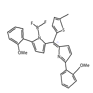 COc1ccccc1C1=N/C(=C(/c2ccc(C)s2)c2ccc(-c3ccccc3OC)n2B(F)F)C=C1